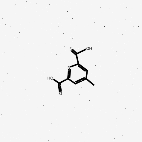 Cc1cc(C(=O)O)nc(C(O)=S)c1